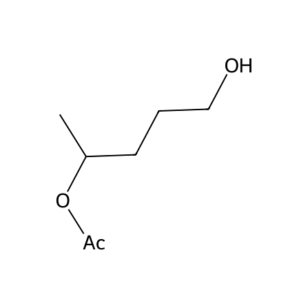 CC(=O)OC(C)CCCO